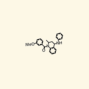 COc1cccc(C(=O)N2c3ccccc3C(Nc3ccccc3)CC2C)c1